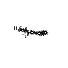 C=CCNC(=S)N/N=C(\C)c1ccc(OCc2ccc(S(=O)(=O)c3ccccc3)cc2)cc1